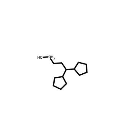 O[SiH2]CCC(C1CCCC1)C1CCCC1